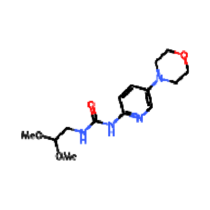 COC(CNC(=O)Nc1ccc(N2CCOCC2)cn1)OC